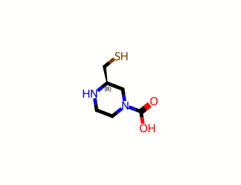 O=C(O)N1CCN[C@@H](CS)C1